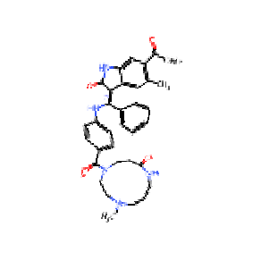 COC(=O)c1cc2c(cc1C)/C(=C(/Nc1ccc(C(=O)N3CCC(=O)NCCCN(C)CC3)cc1)c1ccccc1)C(=O)N2